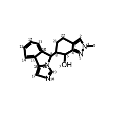 Cn1cc2c(n1)C(O)C(C1c3ccccc3-c3cncn31)CC2